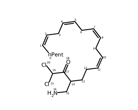 CCCCC/C=C\C/C=C\C/C=C\C/C=C\CCC(CN)C(=O)C(Cl)Cl